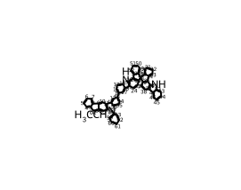 CC1(C)c2ccccc2-c2cc3c4cc(-c5ccc6[nH]c7c8c(ccc7c6c5)C5(c6ccccc6-c6c5ccc5c6[nH]c6ccccc65)c5ccccc5-8)ccc4n(-c4ccccc4)c3cc21